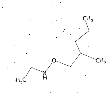 [CH2]CNOCC(C)CCC